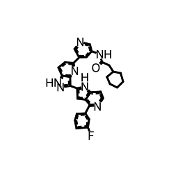 O=C(CC1CCCCC1)Nc1cncc(-c2ccc3[nH]nc(-c4cc5c(-c6cccc(F)c6)nccc5[nH]4)c3n2)c1